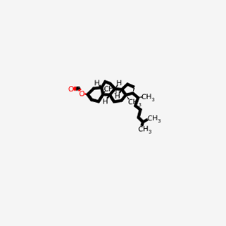 CC(C)CCC[C@@H](C)[C@H]1CC[C@H]2[C@@H]3CC[C@H]4C[C@H](OC=O)CC[C@]4(C)[C@H]3CC[C@]12C